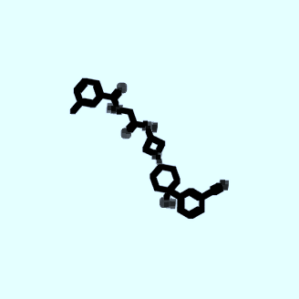 Cc1cccc(C(=O)NCC(=O)NC2CN([C@H]3CC[C@@](O)(c4cccc(C#N)c4)CC3)C2)c1